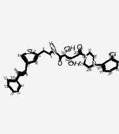 O=C(NCCc1cc(/C=C/c2ccccc2)cs1)[C@H](O)[C@@H](O)C(=O)N1CCN(c2ccccc2Cl)CC1